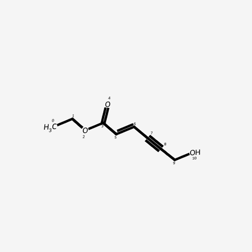 CCOC(=O)C=CC#CCO